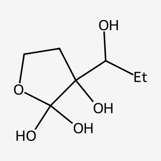 CCC(O)C1(O)CCOC1(O)O